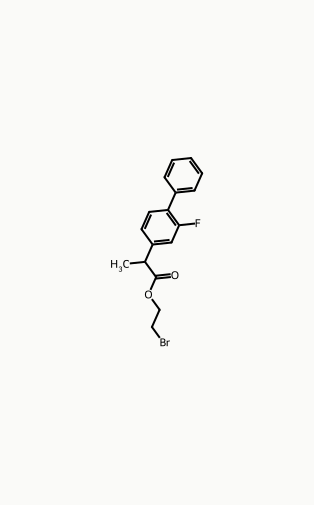 CC(C(=O)OCCBr)c1ccc(-c2ccccc2)c(F)c1